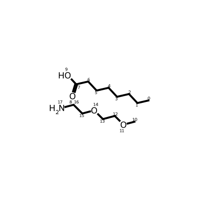 CCCCCCCC(=O)O.COCCOCCN